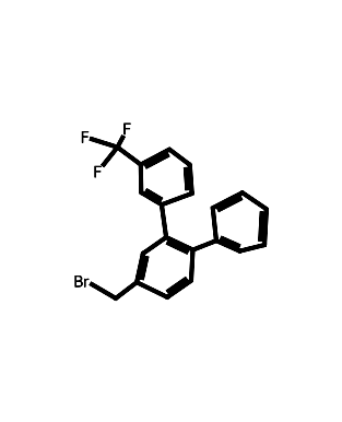 FC(F)(F)c1cccc(-c2cc(CBr)ccc2-c2ccccc2)c1